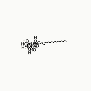 CCCCCCCCCCCCCCOCCO[C@H]1O[C@H](CO)[C@@H](O[C@@H]2O[C@H](CO)[C@H](O)[C@H](O)[C@H]2O)[C@H](O)[C@H]1O